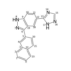 c1ccc2cc(-c3n[nH]c4ccc(-c5ncn[nH]5)cc34)ccc2c1